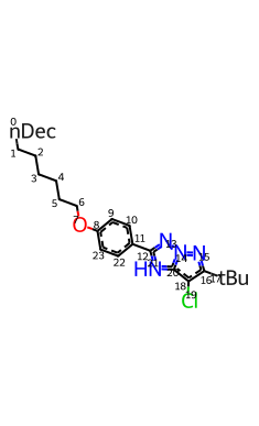 CCCCCCCCCCCCCCCCOc1ccc(-c2nn3nc(C(C)(C)C)c(Cl)c3[nH]2)cc1